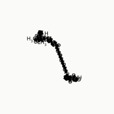 CC(=O)c1c(C)c2cnc(Nc3ccc(N4CCN(C(=O)CCOCCOCCOCCOCCOCCSc5cccc6c5CN(C5CCC(=O)NC5=O)C6=O)CC4)cn3)nc2n(C2CCCC2)c1=O